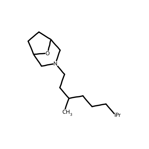 CC(C)CCCC(C)CCN1CC2CCC(C1)O2